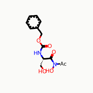 CC(=O)N(O)C(=O)[C@H](CO)NC(=O)OCc1ccccc1